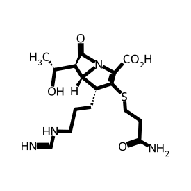 C[C@@H](O)[C@H]1C(=O)N2C(C(=O)O)=C(SCCC(N)=O)[C@H](CCCNC=N)[C@H]12